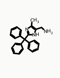 Cc1nc(C(c2ccccc2)(c2ccccc2)c2ccccc2)[nH]c1CN